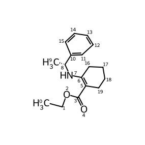 CCOC(=O)C1=C(N[C@H](C)c2ccccc2)CCCC1